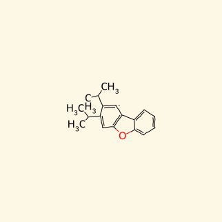 CC(C)c1[c]c2c(cc1C(C)C)oc1ccccc12